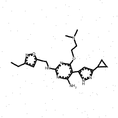 CCc1cc(CNc2nc(N)c(-c3cc(C4CC4)n[nH]3)c(OCCN(C)C)n2)on1